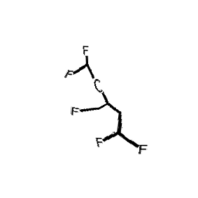 F[C](F)CC(F)CC(F)F